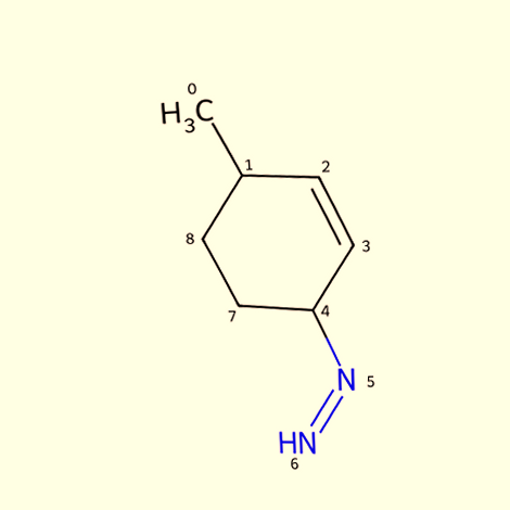 CC1C=CC(N=N)CC1